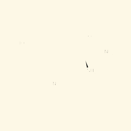 Cn1cc(C[C@H](N)C(N)=O)c2cc(O)ccc21